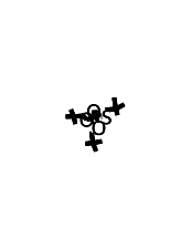 CC(C)(C)COP(=O)(OCC(C)(C)C)SCC(C)(C)C